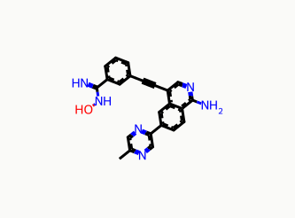 Cc1cnc(-c2ccc3c(N)ncc(C#Cc4cccc(C(=N)NO)c4)c3c2)cn1